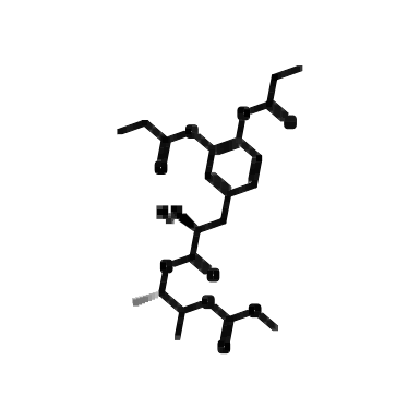 CCC(=O)Oc1ccc(C[C@H](N)C(=O)O[C@@H](C)C(C)OC(=O)OC)cc1OC(=O)CC